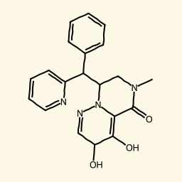 CN1CC(C(c2ccccc2)c2ccccn2)N2N=CC(O)C(O)=C2C1=O